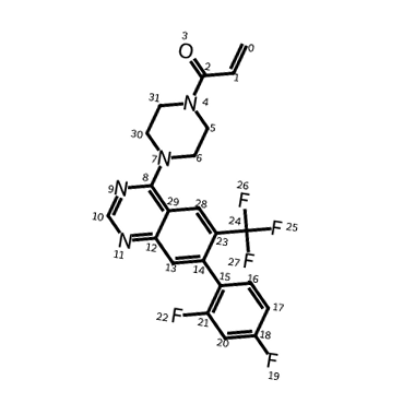 C=CC(=O)N1CCN(c2ncnc3cc(-c4ccc(F)cc4F)c(C(F)(F)F)cc23)CC1